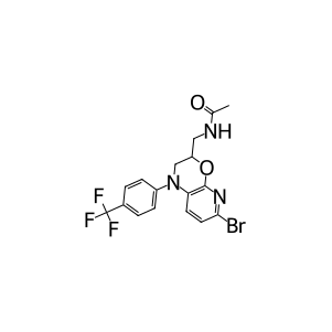 CC(=O)NCC1CN(c2ccc(C(F)(F)F)cc2)c2ccc(Br)nc2O1